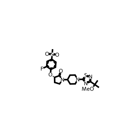 COC(C)(C)c1nsc(N2CCC(N3CC[C@H](Oc4ccc(S(C)(=O)=O)cc4F)C3=O)CC2)n1